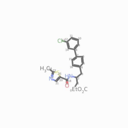 CCOC(=O)CC(Cc1ccc(-c2cccc(Cl)c2)cc1)NC(=O)c1cnc(C)s1